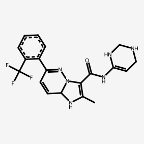 CC1=C(C(=O)NC2=CCNCN2)N2N=C(c3ccccc3C(F)(F)F)C=CC2N1